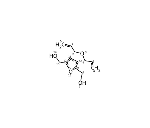 C=CCOCC=C.OCc1ccc(CO)o1